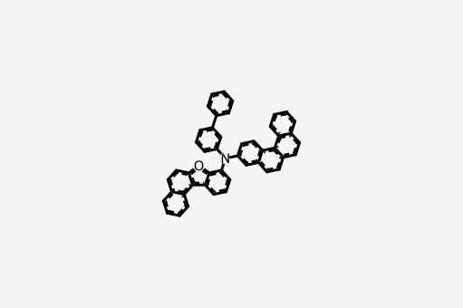 c1ccc(-c2cccc(N(c3ccc4c(ccc5ccc6ccccc6c54)c3)c3cccc4c3oc3ccc5ccccc5c34)c2)cc1